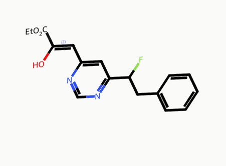 CCOC(=O)/C(O)=C/c1cc(C(F)Cc2ccccc2)ncn1